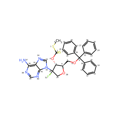 CSC(=S)O[C@@H]1[C@@H](COC(c2ccccc2)(c2ccccc2)c2ccccc2)OC[C@]1(F)n1cnc2c(N)ncnc21